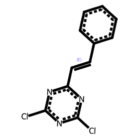 Clc1nc(Cl)nc(/C=C/c2ccccc2)n1